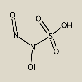 O=NN(O)S(=O)(=O)O